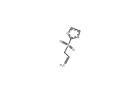 C=CCS(=O)(=O)c1ncco1